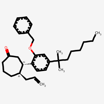 C=CC[C@H]1CCCC(=O)C[C@@H]1c1ccc(C(C)(C)CCCCCC)cc1OCc1ccccc1